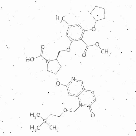 COC(=O)c1c(OC[C@H]2C[C@H](Oc3cc4c(ccc(=O)n4COCC[Si](C)(C)C)cn3)CN2C(=O)O)cc(C)cc1OC1CCCC1